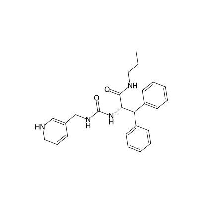 CCCNC(=O)[C@@H](NC(=O)NCC1=CNCC=C1)C(c1ccccc1)c1ccccc1